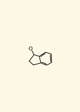 [O]C1CCc2ccccc21